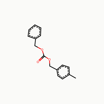 Cc1ccc(COC(=O)OCc2ccccc2)cc1